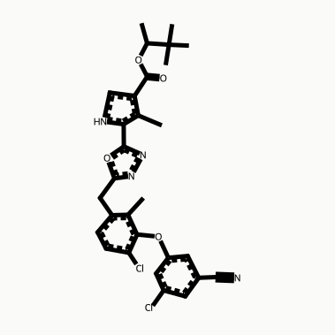 Cc1c(C(=O)OC(C)C(C)(C)C)c[nH]c1-c1nnc(Cc2ccc(Cl)c(Oc3cc(Cl)cc(C#N)c3)c2C)o1